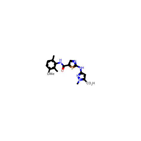 COc1ccc(C)c(NC(=O)c2cnc(Nc3cc(C(=O)O)n(C)n3)s2)c1C